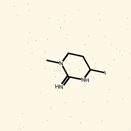 CN1CCC(I)NC1=N